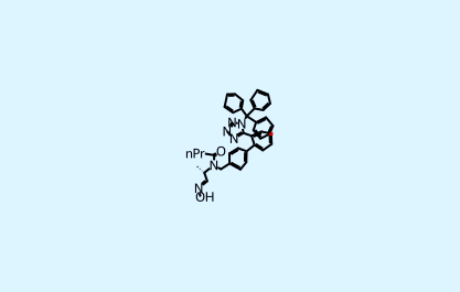 CCCC(=O)N(Cc1ccc(-c2ccccc2-c2nnnn2C(c2ccccc2)(c2ccccc2)c2ccccc2)cc1)[C@@H](C)/C=N/O